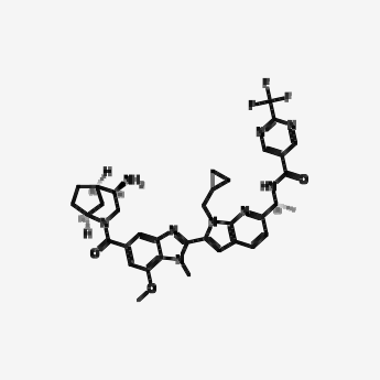 COc1cc(C(=O)N2C[C@H](N)[C@@H]3CC[C@H]2C3)cc2nc(-c3cc4ccc([C@@H](C)NC(=O)c5cnc(C(F)(F)F)nc5)nc4n3CC3CC3)n(C)c12